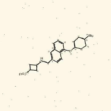 CCOC(=O)C1CC(NCc2ccc3c(OC4CCC(C(C)(C)C)CC4)cccc3c2)C1